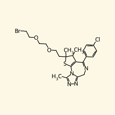 Cc1nnc2n1C1=C(C(c3ccc(Cl)cc3)=NC2)C(C)C(C)(CCOCCOCCBr)S1